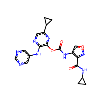 O=C(Nc1conc1C(=O)NC1CC1)Oc1nc(C2CC2)cnc1Nc1cncnc1